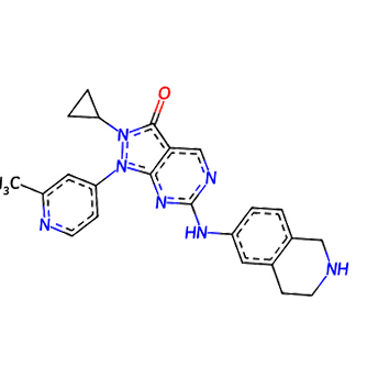 Cc1cc(-n2c3nc(Nc4ccc5c(c4)CCNC5)ncc3c(=O)n2C2CC2)ccn1